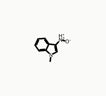 Cn1cc([NH2+][O-])c2ccccc21